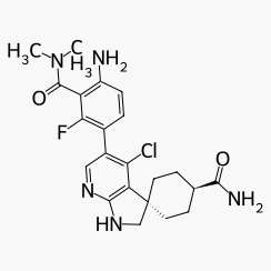 CN(C)C(=O)c1c(N)ccc(-c2cnc3c(c2Cl)[C@]2(CC[C@H](C(N)=O)CC2)CN3)c1F